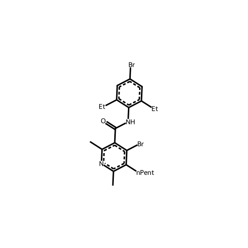 CCCCCc1c(C)nc(C)c(C(=O)Nc2c(CC)cc(Br)cc2CC)c1Br